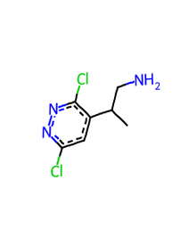 CC(CN)c1cc(Cl)nnc1Cl